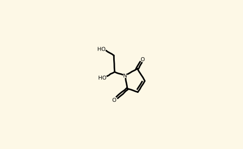 O=C1C=CC(=O)N1C(O)CO